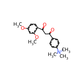 COc1ccc(C(=O)CC(=O)c2ccc([N+](C)(C)C)cc2)c(OC)c1